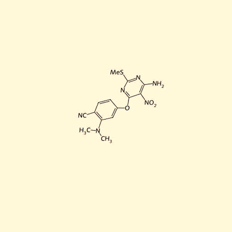 CSc1nc(N)c([N+](=O)[O-])c(Oc2ccc(C#N)c(N(C)C)c2)n1